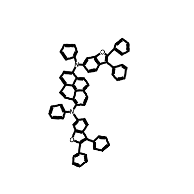 c1ccc(-c2oc3cc(N(c4ccccc4)c4ccc5ccc6c(N(c7ccccc7)c7ccc8c(-c9ccccc9)c(-c9ccccc9)oc8c7)ccc7ccc4c5c76)ccc3c2-c2ccccc2)cc1